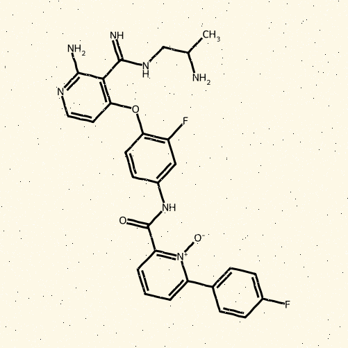 CC(N)CNC(=N)c1c(Oc2ccc(NC(=O)c3cccc(-c4ccc(F)cc4)[n+]3[O-])cc2F)ccnc1N